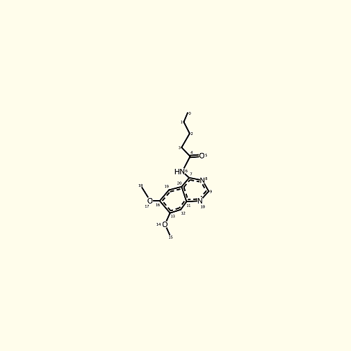 CCCCC(=O)Nc1ncnc2cc(OC)c(OC)cc12